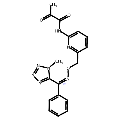 CC(=O)C(=O)Nc1cccc(CO/N=C(/c2ccccc2)c2nnnn2C)n1